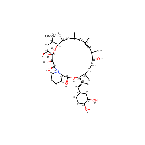 CCCC1C=C(C)CC(C)CC(OC)C2OC(O)(C(=O)C(=O)N3CCCCC3C(=O)OC(C(C)=CC3CCC(O)C(O)C3)C(C)CCC1=O)C(C)CC2OC